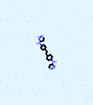 C(=Cc1ccc(Nc2ccnnn2)cc1)c1ccc(Nc2ccnnn2)cc1